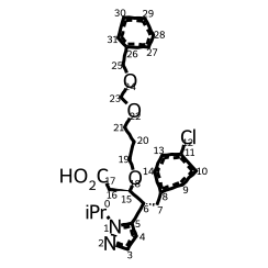 CC(C)n1nccc1[C@@H](Cc1ccc(Cl)cc1)[C@@H](CC(=O)O)OCCCOCOCc1ccccc1